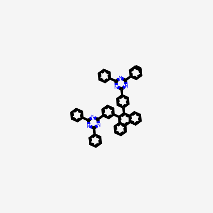 c1ccc(-c2nc(-c3ccccc3)nc(-c3ccc(-c4c(-c5cccc(-c6nc(-c7ccccc7)nc(-c7ccccc7)n6)c5)c5ccccc5c5ccccc45)cc3)n2)cc#1